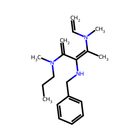 C=CN(C)/C(C)=C(/NCc1ccccc1)C(=C)N(C)CCC